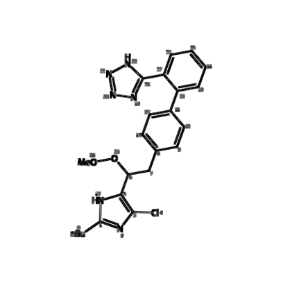 CCCCc1nc(Cl)c(C(Cc2ccc(-c3ccccc3-c3nnn[nH]3)cc2)OOC)[nH]1